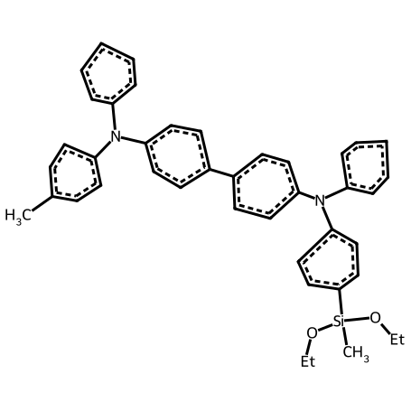 CCO[Si](C)(OCC)c1ccc(N(c2ccccc2)c2ccc(-c3ccc(N(c4ccccc4)c4ccc(C)cc4)cc3)cc2)cc1